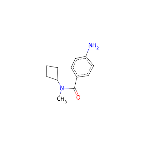 CN(C(=O)c1ccc(N)cc1)C1CCC1